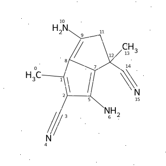 CC1=C(C#N)C(N)=C2C1=C(N)CC2(C)C#N